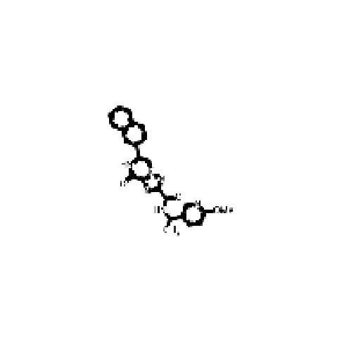 COc1ccc(C(C)NC(=O)c2nc3c(=O)[nH]c(-c4ccc5ccccc5c4)cn3n2)cn1